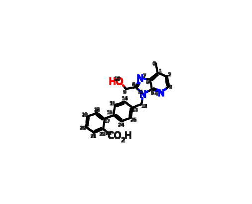 Cc1ccnc2c1nc(CO)n2Cc1ccc(-c2ccccc2C(=O)O)cc1